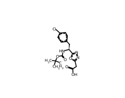 CC(C)(C)OC(=O)N[C@@H](Cc1ccc(Cl)cc1)c1nnc(CC(=O)O)o1